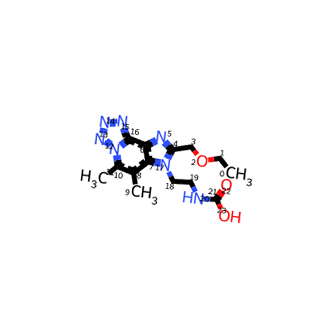 CCOCc1nc2c(c(C)c(C)n3nnnc23)n1CCNC(=O)O